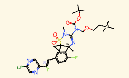 CN1C(N(COCC[Si](C)(C)C)C(=O)OC(C)(C)C)=N[C@](C)(c2cc(/C=C(\F)c3cnc(Cl)cn3)ccc2F)C2(CC2)S1(=O)=O